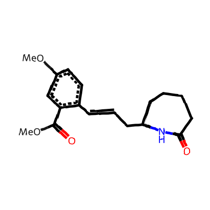 COC(=O)c1cc(OC)ccc1C=CCC1CCCCC(=O)N1